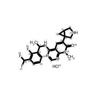 CC(Nc1ncnc2c1cc(C13CNCC1C3)c(=O)n2C)c1cccc(C(F)F)c1F.Cl